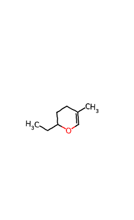 CCC1CCC(C)=CO1